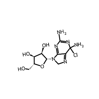 NC1=NC(N)(Cl)C2=NCN([C@@H]3O[C@H](CO)[C@@H](O)[C@H]3O)C2=N1